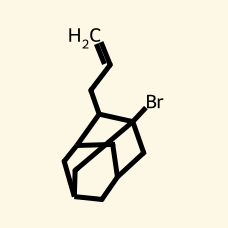 C=CCC1C2CC3CC(C2)CC1(Br)C3